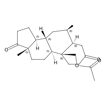 CC(=O)OC[C@]12CCC(=O)C[C@@H]1[C@H](C)C[C@@H]1[C@@H]2CC[C@]2(C)C(=O)CC[C@@H]12